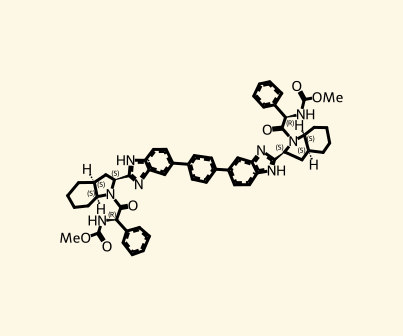 COC(=O)N[C@@H](C(=O)N1[C@H](c2nc3cc(-c4ccc(-c5ccc6[nH]c([C@@H]7C[C@@H]8CCCC[C@@H]8N7C(=O)[C@H](NC(=O)OC)c7ccccc7)nc6c5)cc4)ccc3[nH]2)C[C@@H]2CCCC[C@@H]21)c1ccccc1